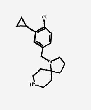 Clc1ccc(CN2CCCC23CCNCC3)cc1C1CC1